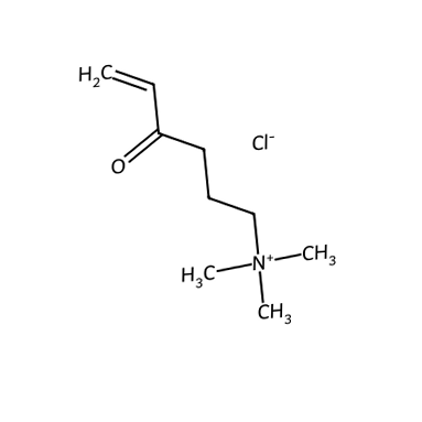 C=CC(=O)CCC[N+](C)(C)C.[Cl-]